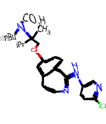 [CH2]CCCN(C(=O)O)C(C)(COc1ccc2c(Nc3ccc(Cl)nc3)nccc2c1)C(C)C